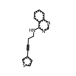 C(#Cc1ccsc1)CCNc1ncnc2ccccc12